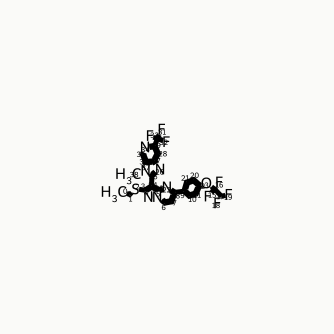 CCSc1nn2ccc(-c3ccc(OC(F)(F)C(F)F)cc3)nc2c1-c1nc2cc(C(F)(F)F)ncc2n1C